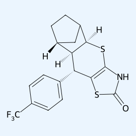 O=c1[nH]c2c(s1)[C@H](c1ccc(C(F)(F)F)cc1)[C@H]1[C@@H]3CCC(C3)[C@H]1S2